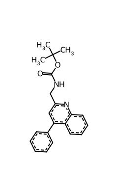 CC(C)(C)OC(=O)NCc1cc(-c2ccccc2)c2ccccc2n1